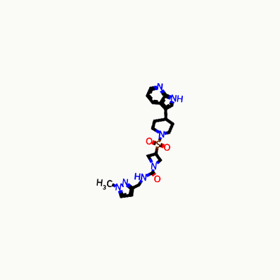 Cn1ccc(CNC(=O)N2CC(S(=O)(=O)N3CCC(c4c[nH]c5ncccc45)CC3)C2)n1